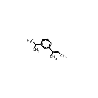 C/C=C(\C)c1cc(C(C)C)ccn1